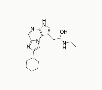 CCNC(O)Cc1c[nH]c2ncc3nc(C4CCCCC4)cn3c12